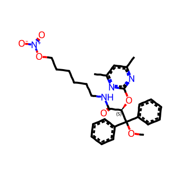 COC(c1ccccc1)(c1ccccc1)[C@H](Oc1nc(C)cc(C)n1)C(=O)NCCCCCCO[N+](=O)[O-]